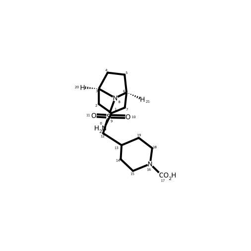 NC1C[C@H]2CC[C@@H](C1)N2S(=O)(=O)CC1CCN(C(=O)O)CC1